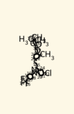 Cc1cc(SCc2nn(-c3ccc(C(F)(F)F)cc3)c3ccc(Cl)cc23)ccc1OCC(=O)OC(C)(C)C